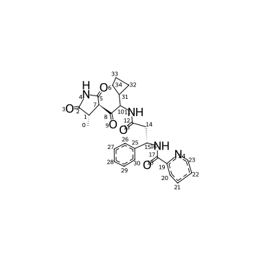 C[C@@H]1C(=O)NC(=O)[C@H]1C(=O)C(NC(=O)C[C@H](NC(=O)c1ccccn1)c1ccccc1)C1CCC1